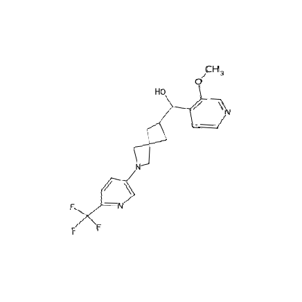 COc1cnccc1C(O)C1CC2(C1)CN(c1ccc(C(F)(F)F)nc1)C2